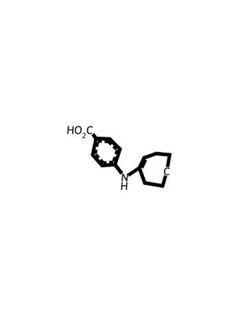 O=C(O)c1ccc(NC2=CCCCCC2)cc1